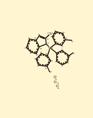 Cc1cccc([Si](c2cccc(C)c2)(c2cccc(C)c2)C2[C]([Ti+3])=Cc3ccccc32)c1.[Cl-].[Cl-].[Cl-]